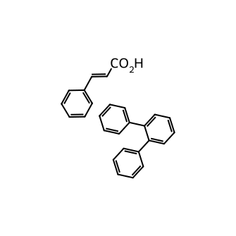 O=C(O)C=Cc1ccccc1.c1ccc(-c2ccccc2-c2ccccc2)cc1